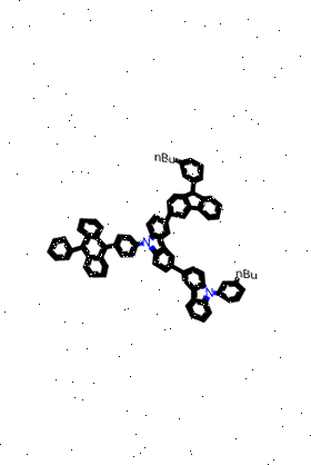 CCCCc1cccc(C2c3ccccc3-c3cc(-c4ccc5c(c4)c4cc(-c6ccc7c(c6)c6ccccc6n7-c6cccc(CCCC)c6)ccc4n5-c4ccc(-c5c6ccccc6c(-c6ccccc6)c6ccccc56)cc4)ccc32)c1